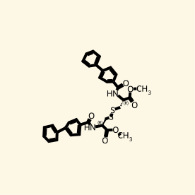 COC(=O)[C@H](CSSC[C@H](NC(=O)c1ccc(-c2ccccc2)cc1)C(=O)OC)NC(=O)c1ccc(-c2ccccc2)cc1